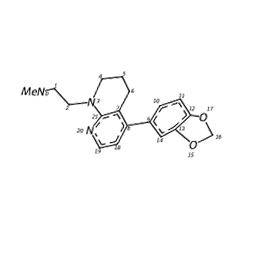 CNCCN1CCCc2c(-c3ccc4c(c3)OCO4)ccnc21